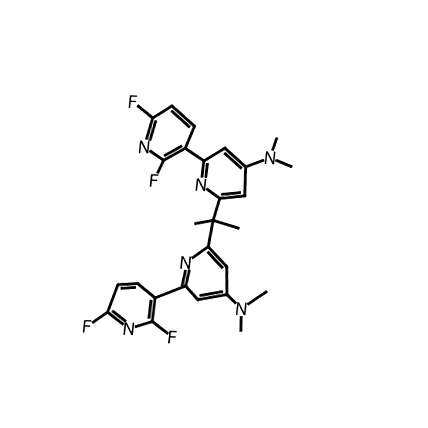 CN(C)c1cc(-c2ccc(F)nc2F)nc(C(C)(C)c2cc(N(C)C)cc(-c3ccc(F)nc3F)n2)c1